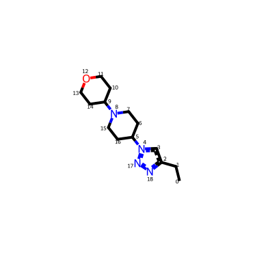 CCc1cn(C2CCN(C3CCOCC3)CC2)nn1